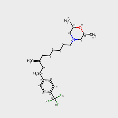 C=C(CCCCCCN1CC(C)OC(C)C1)C[SiH2]c1ccc(C(F)(F)F)cc1